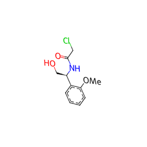 COc1ccccc1[C@@H](CO)NC(=O)CCl